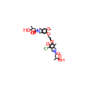 COc1cc2c(cc1OCCCOc1c(C)c3c(c(Cl)c1OC)CN(C(=O)CC(C)C(=O)O)C3)CN(C(=O)CC(C)C(=O)O)C2